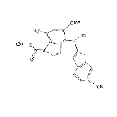 COc1cc(C)c2c(ccn2C(=O)OC(C)(C)C)c1C(O)C1=Cc2ccc(C#N)cc2C1